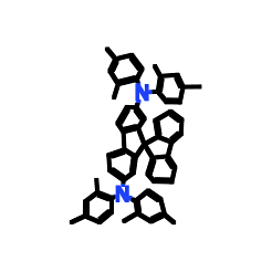 Cc1ccc(N(c2ccc3c(c2)C2(c4ccccc4-c4ccccc42)c2cc(N(c4ccc(C)cc4C)c4ccc(C)cc4C)ccc2-3)c2ccc(C)cc2C)c(C)c1